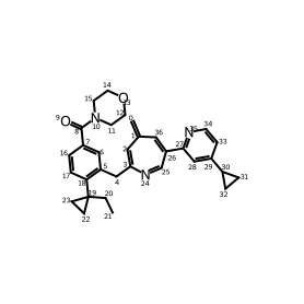 C=C1C=C(Cc2cc(C(=O)N3CCOCC3)ccc2C2(CC)CC2)N=CC(c2cc(C3CC3)ccn2)=C1